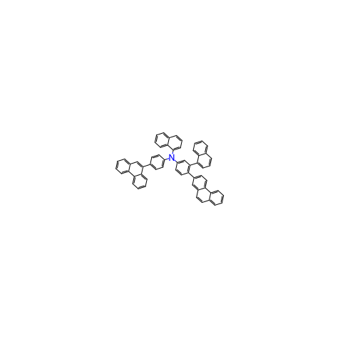 c1ccc2c(-c3cc(N(c4ccc(-c5cc6ccccc6c6ccccc56)cc4)c4cccc5ccccc45)ccc3-c3ccc4c(ccc5ccccc54)c3)cccc2c1